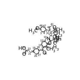 COc1ccc(C2(CCN(Cc3ccc(C(=O)c4ccc(CCC(=O)O)cc4)c(C)c3)C(=O)C(C)(C)C(F)(F)F)CCOC(C)(C)C2)cc1